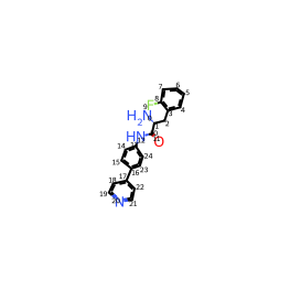 N[C@H](Cc1ccccc1F)C(=O)Nc1ccc(-c2ccncc2)cc1